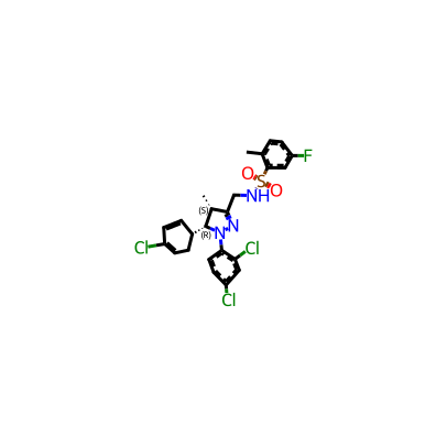 Cc1ccc(F)cc1S(=O)(=O)NCC1=NN(c2ccc(Cl)cc2Cl)[C@H](C2C=CC(Cl)=CC2)[C@@H]1C